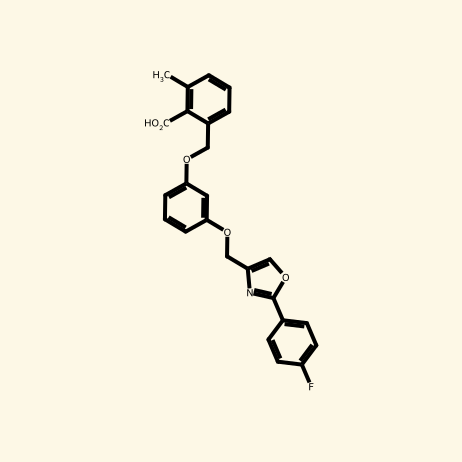 Cc1cccc(COc2cccc(OCc3coc(-c4ccc(F)cc4)n3)c2)c1C(=O)O